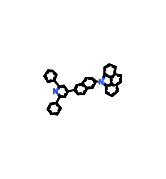 c1ccc(-c2cc(-c3ccc4cc(-n5c6cccc7ccc8cccc5c8c76)ccc4c3)cc(-c3ccccc3)n2)cc1